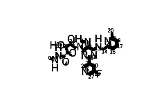 CNNC(=O)[C@H]1O[C@@H](n2cnc3c(NCc4cccc(C)n4)nc(-c4cncc(F)c4)nc32)[C@H](O)[C@@H]1O